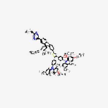 CC#Cc1ncc(C2=CC3C(C=C2)c2ccc(-c4cc(-c5ccc(N(c6ccc(C)cc6C)c6ccc(OCCCCCCCC)cc6OCCCCCCCC)cc5)c(-c5ccc(N(c6ccc(C)cc6C)c6ccc(OCCCCCCCC)cc6C)cc5)s4)cc2C3(CCCCCCCCCCCC)CCCCCCCCCCCC)cn1